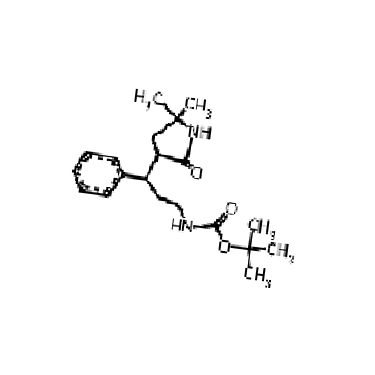 CC1(C)CC(C(CCNC(=O)OC(C)(C)C)c2ccccc2)C(=O)N1